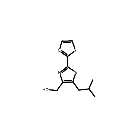 CC(C)Cc1sc(-c2nccs2)nc1CO